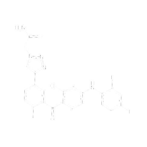 Cc1ccc(-c2cn(CC(N)=O)nn2)cc1C(=O)c1ccc(Nc2ccc(F)cc2F)cc1Cl